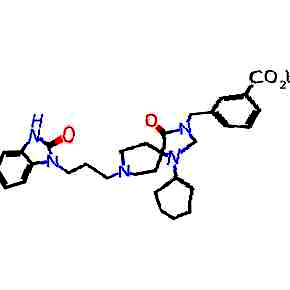 O=C(O)c1cccc(CN2CN(C3CCCCC3)C3(CCN(CCCn4c(=O)[nH]c5ccccc54)CC3)C2=O)c1